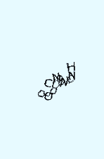 Clc1nccc2c1c(-c1ccc(Oc3ccccc3)cc1)cn2C1CCCNC1